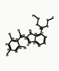 CCCN(CCC)c1cccc2nc(N(C)c3c(C)cc(C)cc3C)sc12